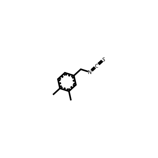 Cc1ccc(CN=C=S)cc1C